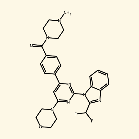 CN1CCN(C(=O)c2ccc(-c3cc(N4CCOCC4)nc(-n4c(C(F)F)nc5ccccc54)n3)cc2)CC1